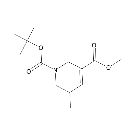 COC(=O)C1=CC(C)CN(C(=O)OC(C)(C)C)C1